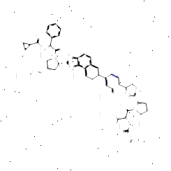 C=C/C=C(\C=C/CC1CN=C([C@@H]2CCCN2C(=O)[C@@H](NC(=O)OC)C(C)C)N1)C1C=c2ccc3nc([C@@H]4C[C@H](COC)CN4C(=O)[C@H](NC(=O)C4CC4)c4ccccc4)[nH]c3c2=CC1